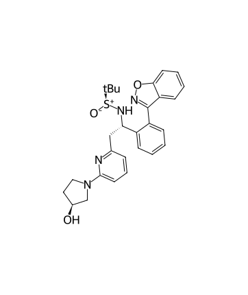 CC(C)(C)[S@+]([O-])N[C@@H](Cc1cccc(N2CC[C@H](O)C2)n1)c1ccccc1-c1noc2ccccc12